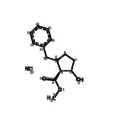 COC(=O)[C@@H]1C(O)CCN1Cc1ccccc1.Cl